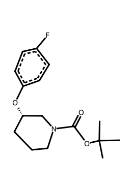 CC(C)(C)OC(=O)N1CCC[C@H](Oc2ccc(F)cc2)C1